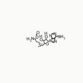 C[S+](CCC(N)OC=O)CC1OC(n2cnc3c(N)ncnc32)C(O)C1O